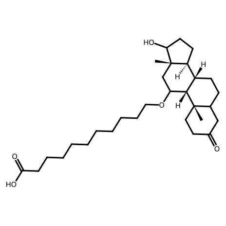 C[C@]12CCC(=O)CC1CC[C@@H]1[C@H]2C(OCCCCCCCCCCC(=O)O)C[C@]2(C)C(O)CC[C@@H]12